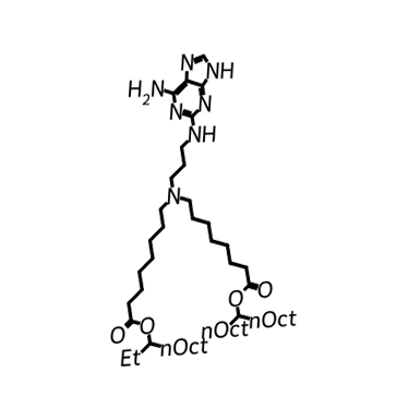 CCCCCCCCC(CC)OC(=O)CCCCCCCN(CCCCCCCC(=O)OC(CCCCCCCC)CCCCCCCC)CCCNc1nc(N)c2nc[nH]c2n1